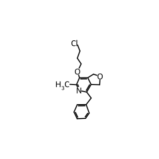 Cc1nc(Cc2ccccc2)c2c(c1OCCCCl)COC2